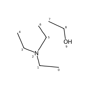 CCN(CC)CC.CCO